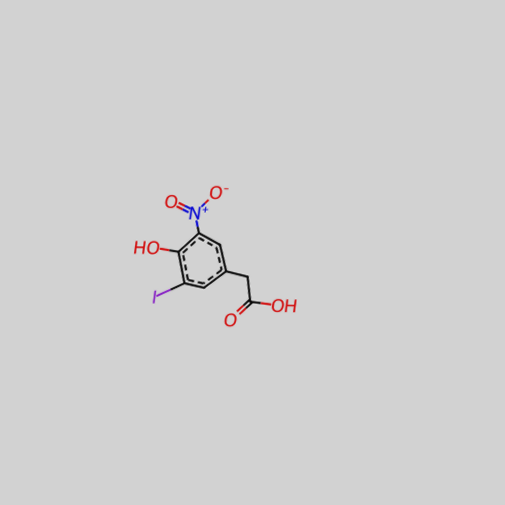 O=C(O)Cc1cc(I)c(O)c([N+](=O)[O-])c1